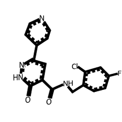 O=C(NCc1ccc(F)cc1Cl)c1cc(-c2ccncc2)n[nH]c1=O